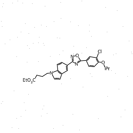 CCOC(=O)CCCn1ccc2cc(-c3noc(-c4ccc(OC(C)C)c(Cl)c4)n3)ccc21